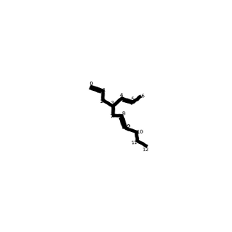 C=CCC(C=CC)CC=CCCC